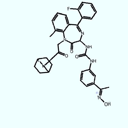 C/C(=N\O)c1cccc(NC(=O)NC2N=C(c3ccccc3F)c3cccc(C)c3N(CC(=O)N3CC4CCC(CC4)C3)C2=O)c1